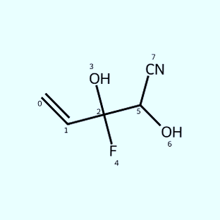 C=CC(O)(F)C(O)C#N